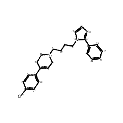 Clc1ccc(C2=CCN(CCCCn3ccnc3-c3ccccc3)CC2)cc1